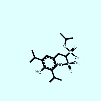 CC(C)OP(=O)(O)C(Cc1cc(C(C)C)c(O)c(C(C)C)c1)P(=O)(O)O